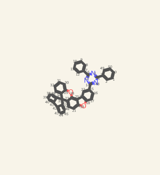 c1ccc(-c2nc(-c3ccccc3)nc(-c3ccc4oc5ccc6c(c5c4c3)Oc3ccccc3C63c4ccccc4-c4ccccc43)n2)cc1